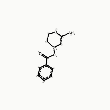 NC1CN(OC(=O)c2ccccc2)CCO1